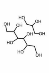 OCC(O)C(O)C(O)C(O)CO.OCC(O)CO